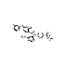 CC(C)(C)OC(=O)[C@H]1CC[C@H](n2nc(-c3ccc(Oc4cccc(F)c4)cc3F)c3c(N)ncnc32)CC1